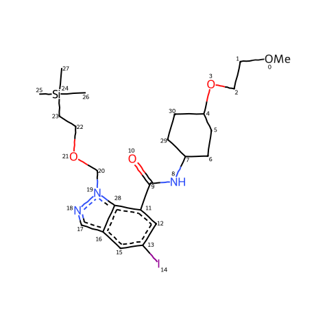 COCCOC1CCC(NC(=O)c2cc(I)cc3cnn(COCC[Si](C)(C)C)c23)CC1